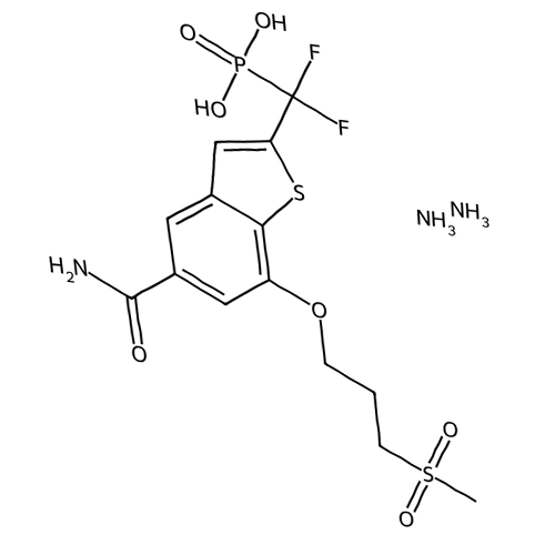 CS(=O)(=O)CCCOc1cc(C(N)=O)cc2cc(C(F)(F)P(=O)(O)O)sc12.N.N